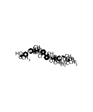 Cc1c(NC(=O)c2nc3c(n2C)CCN(CC(C)O[Si](C)(C)C(C)(C)C)C3)cccc1-c1cccc(NC(=O)c2nc3c(n2C)CCN(C2CCC(C)(C(=O)O)CC2)C3)c1Cl